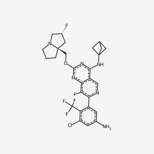 Nc1cc(Cl)c(C(F)(F)F)c(-c2ncc3c(NC45CC(C4)C5)nc(OC[C@@]45CCCN4C[C@H](F)C5)nc3c2F)c1